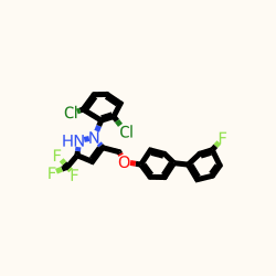 Fc1cccc(-c2ccc(OCC3=CC(C(F)(F)F)NN3c3c(Cl)cccc3Cl)cc2)c1